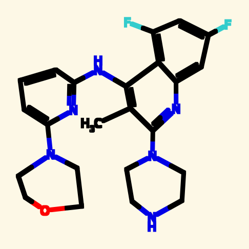 Cc1c(N2CCNCC2)nc2cc(F)cc(F)c2c1Nc1cccc(N2CCOCC2)n1